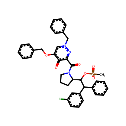 CS(=O)(=O)OC(C(c1ccccc1)c1cccc(F)c1)[C@H]1CCCN1C(=O)c1nn(Cc2ccccc2)cc(OCc2ccccc2)c1=O